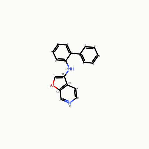 c1ccc(-c2ccccc2Nc2coc3cnccc23)cc1